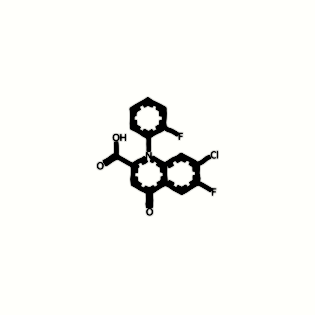 O=C(O)c1cc(=O)c2cc(F)c(Cl)cc2n1-c1ccccc1F